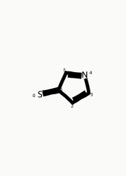 S=C1C=CN=C1